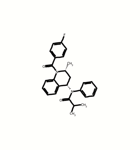 CC(C)C(=O)N(c1ccccc1)[C@H]1C[C@@H](C)N(C(=O)c2ccc(F)cc2)c2ccccc21